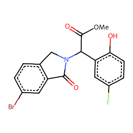 COC(=O)C(c1cc(F)ccc1O)N1Cc2ccc(Br)cc2C1=O